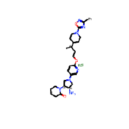 CC(C)c1noc(N2CCC([C@H](C)CCOc3ccc(N4C[C@@H](N)[C@@H](N5CCCCC5=O)C4)cn3)CC2)n1.Cl